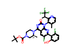 Cc1ccnc(C(C)C(F)(F)F)c1-n1c(=O)nc(N2CCN(C(=O)OC(C)(C)C)C[C@@H]2C)c2cc(F)c(-c3c(O)cccc3F)nc21